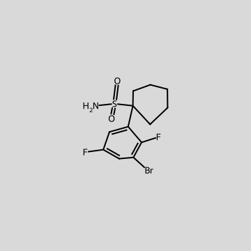 NS(=O)(=O)C1(c2cc(F)cc(Br)c2F)CCCCC1